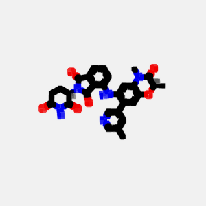 Cc1cncc(-c2cc3c(cc2Nc2cccc4c2C(=O)N([C@H]2CCC(=O)NC2=O)C4=O)N(C)C(=O)[C@@H](C)O3)c1